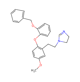 COc1ccc(Oc2ccccc2OCc2ccccc2)c(CCN2C=NCC2)c1